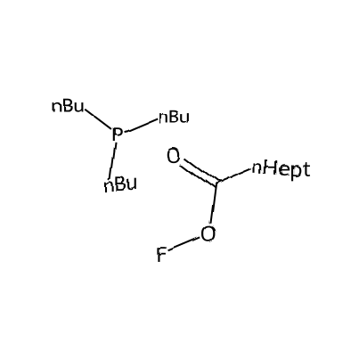 CCCCCCCC(=O)OF.CCCCP(CCCC)CCCC